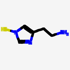 NCCc1cn(S)cn1